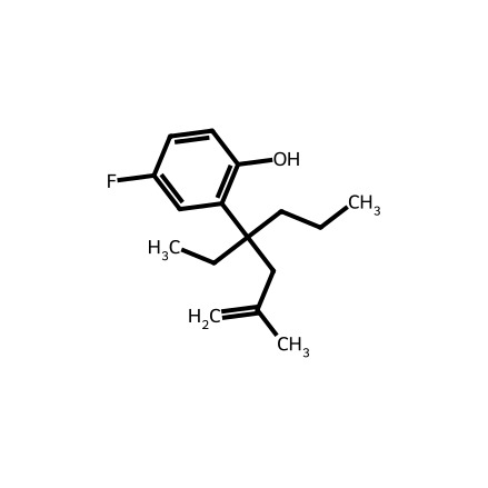 C=C(C)CC(CC)(CCC)c1cc(F)ccc1O